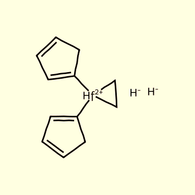 C1=CC[C]([Hf+2]2([C]3=CC=CC3)[CH2][CH2]2)=C1.[H-].[H-]